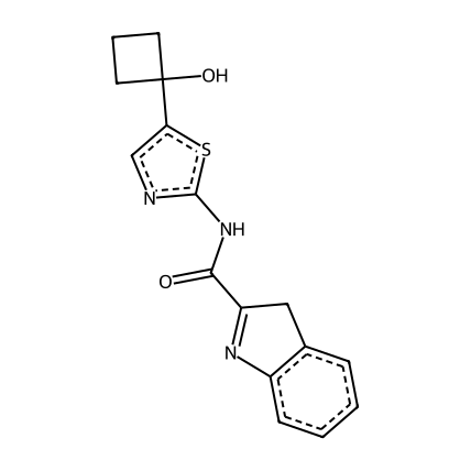 O=C(Nc1ncc(C2(O)CCC2)s1)C1=Nc2ccccc2C1